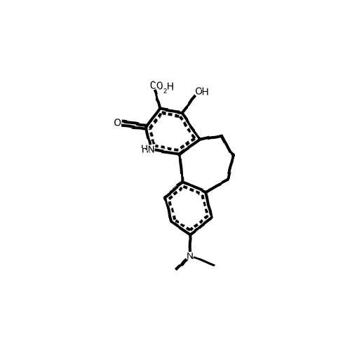 CN(C)c1ccc2c(c1)CCCc1c-2[nH]c(=O)c(C(=O)O)c1O